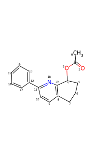 CC(=O)OC1CCCc2ccc(-c3ccccc3)nc21